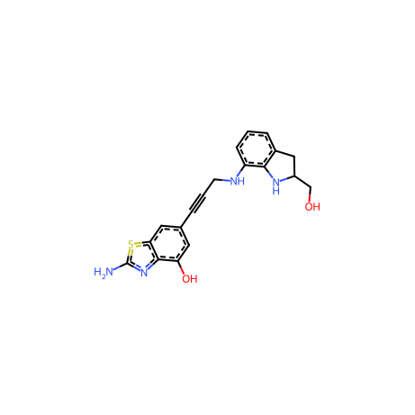 Nc1nc2c(O)cc(C#CCNc3cccc4c3NC(CO)C4)cc2s1